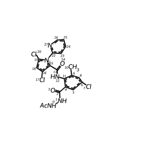 CC(=O)NNC(=O)c1cc(Cl)cc(C)c1NC(=O)c1c(Cl)cc(Cl)n1-c1ccccn1